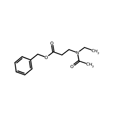 CCN(CCC(=O)OCc1ccccc1)C(C)=O